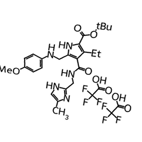 CCc1c(C(=O)OC(C)(C)C)[nH]c(CNc2ccc(OC)cc2)c1C(=O)NCc1nc(C)c[nH]1.O=C(O)C(F)(F)F.O=C(O)C(F)(F)F